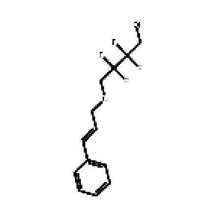 OCC(F)(F)C(F)(F)COC/C=C/c1ccccc1